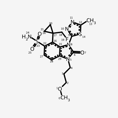 COCCCn1c(=O)n(-c2nnc(C)s2)c2c(C3(CF)CC3)c(S(N)(=O)=O)ccc21